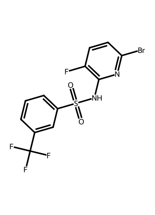 O=S(=O)(Nc1nc(Br)ccc1F)c1cccc(C(F)(F)F)c1